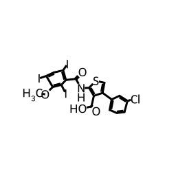 COc1c(I)cc(I)c(C(=O)Nc2scc(-c3cccc(Cl)c3)c2C(=O)O)c1I